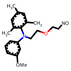 COc1cccc(N(CCOCCN=O)c2c(C)cc(C)cc2C)c1